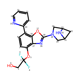 OCC(F)(F)Oc1ccc(-c2ccccn2)c2oc(N3CC4CC(C3)N4)nc12